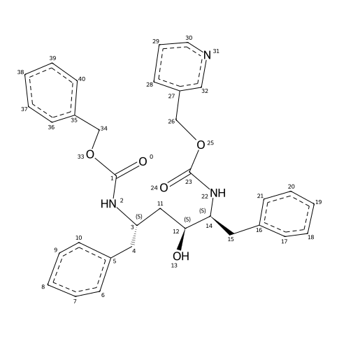 O=C(N[C@@H](Cc1ccccc1)C[C@H](O)[C@H](Cc1ccccc1)NC(=O)OCc1cccnc1)OCc1ccccc1